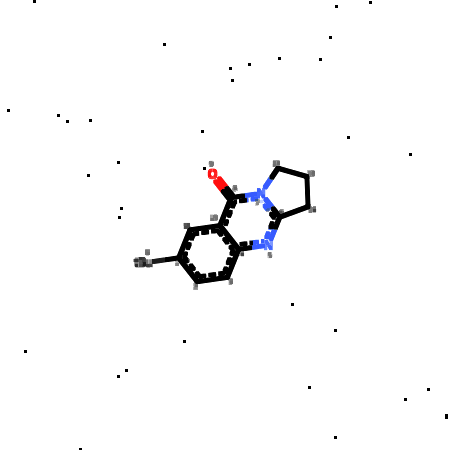 CC(C)(C)c1ccc2nc3n(c(=O)c2c1)CCC3